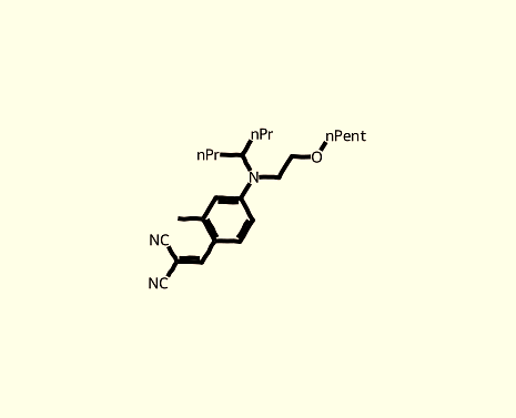 CCCCCOCCN(c1ccc(C=C(C#N)C#N)c(C)c1)C(CCC)CCC